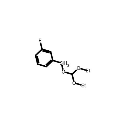 CCOC(OCC)O[SiH2]c1cccc(F)c1